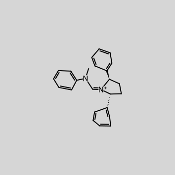 CN(C=[N+]1[C@@H](c2ccccc2)CC[C@@H]1c1ccccc1)c1ccccc1